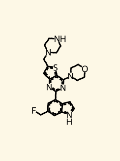 FCc1cc(-c2nc(N3CCOCC3)c3sc(CN4CCNCC4)cc3n2)c2cc[nH]c2c1